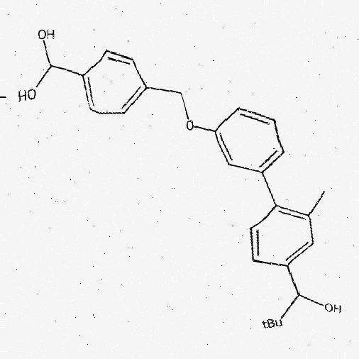 Cc1cc(C(O)C(C)(C)C)ccc1-c1cccc(OCc2ccc(C(O)O)cc2)c1